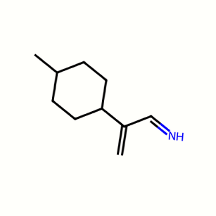 C=C(C=N)C1CCC(C)CC1